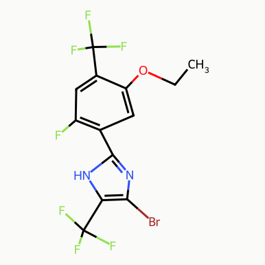 CCOc1cc(-c2nc(Br)c(C(F)(F)F)[nH]2)c(F)cc1C(F)(F)F